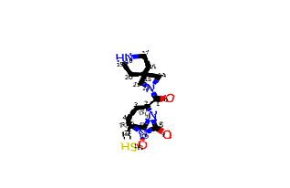 O=C([C@@H]1CC[C@@H]2CN1C(=O)N2OS)N1CC2(CCNCC2)C1